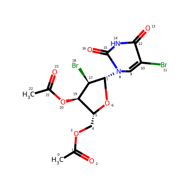 CC(=O)OC[C@H]1O[C@@H](n2cc(Br)c(=O)[nH]c2=O)[C@H](Br)[C@@H]1OC(C)=O